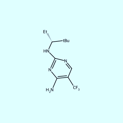 CC[C@@H](Nc1ncc(C(F)(F)F)c(N)n1)C(C)(C)C